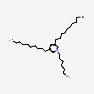 CCCCCCCCCCc1cc(CCCCCCCCCC)c[n+](CCCCCCC)c1